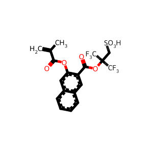 C=C(C)C(=O)Oc1cc2ccccc2cc1C(=O)OC(CS(=O)(=O)O)(C(F)(F)F)C(F)(F)F